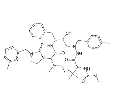 CCC(C)C(C(=O)NC(Cc1ccccc1)C(O)CN(Cc1ccc(C)cc1)NC(=O)C(NC(=O)OC)C(C)(C)C)N1CCN(Cc2cccc(C)n2)C1=O